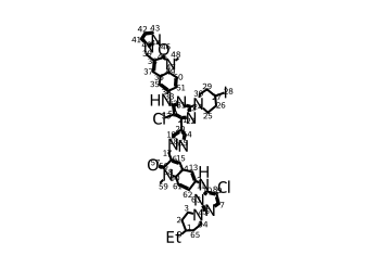 CCC1CCN(c2ncc(Cl)c(NC3=CC4C=C(Cn5cc(-c6nc(N7CCC(I)CC7)nc(NC7=CC8C=C(Cn9cccn9)C(=O)N(C)C8C=C7)c6Cl)cn5)C(=O)N(C)C4C=C3)n2)CC1